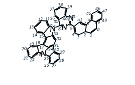 C1=CC2CC=C(c3nc(-n4c5ccccc5c5c6c7ccccc7n7c8ccccc8c(cc54)c67)c4ccccc4n3)C=C2c2ccccc21